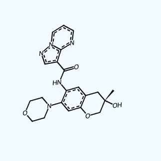 C[C@@]1(O)COc2cc(N3CCOCC3)c(NC(=O)c3cnn4cccnc34)cc2C1